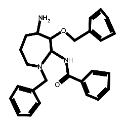 NC1CCCN(Cc2ccccc2)C(NC(=O)c2ccccc2)C1OCc1ccccc1